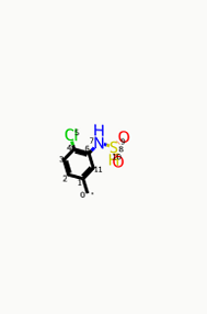 [CH2]c1ccc(Cl)c(N[SH](=O)=O)c1